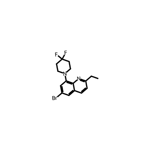 CCc1ccc2cc(Br)cc(N3CCC(F)(F)CC3)c2n1